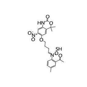 CC(=O)c1cc(C)ccc1[N+](=CCCCOc1cc2c(cc1[N+](=O)[O-])NC(=O)OC2(C)C)OS